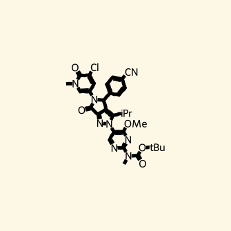 COc1nc(N(C)C(=O)OC(C)(C)C)ncc1-n1nc2c(c1C(C)C)C(c1ccc(C#N)cc1)N(c1cc(Cl)c(=O)n(C)c1)C2=O